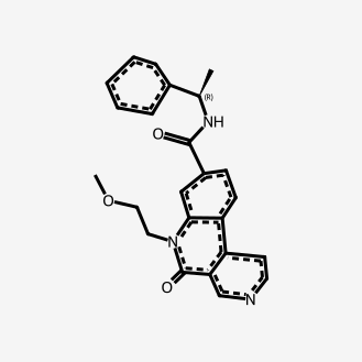 COCCn1c(=O)c2cnccc2c2ccc(C(=O)N[C@H](C)c3ccccc3)cc21